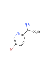 CCOC(=O)C(N)c1ccc(Br)cn1